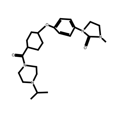 CC(C)N1CCN(C(=O)C2CCC(Oc3ccc(N4CCN(C)C4=O)cc3)CC2)CC1